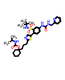 CC(C)NC(=O)OC1(CCCc2ncc(-c3ccc(NC(=O)NCc4ccccn4)cc3S(=O)(=O)NC(C)(C)C)s2)CCCCC1